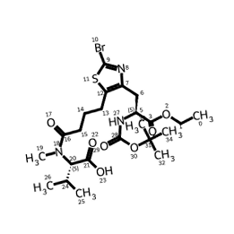 CCOC(=O)[C@H](Cc1nc(Br)sc1CCCC(=O)N(C)[C@H](C(=O)O)C(C)C)NC(=O)OC(C)(C)C